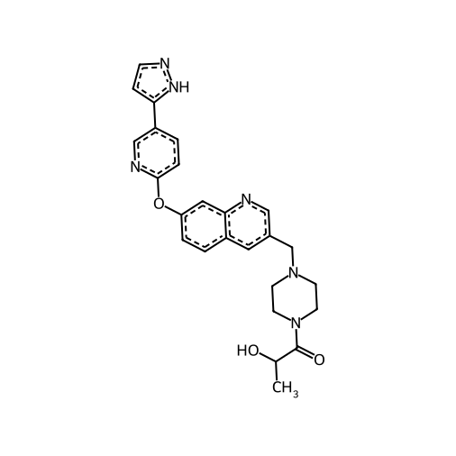 CC(O)C(=O)N1CCN(Cc2cnc3cc(Oc4ccc(-c5ccn[nH]5)cn4)ccc3c2)CC1